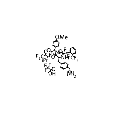 COc1ccc([C@H](NC(=O)[C@H](Cc2ccc(CN)cc2)NC(=O)C(F)(F)c2ccccc2C(F)(F)F)C(=O)N[C@H](C(=O)C(F)(F)F)C(C)C)cc1.O=C(O)C(F)(F)F